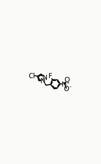 O=[N+]([O-])c1ccc(Cn2cc(Cl)cn2)c(F)c1